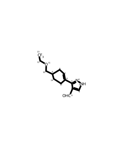 O=Cc1c[nH]nc1C1=CCC(COCC(F)(F)F)CC1